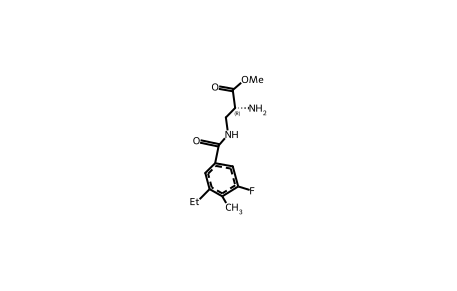 CCc1cc(C(=O)NC[C@@H](N)C(=O)OC)cc(F)c1C